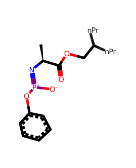 CCCC(CCC)COC(=O)[C@H](C)N=[P+]([O-])Oc1ccccc1